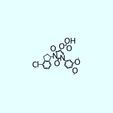 COc1ccc(-n2cc(OC(=O)O)c(=O)n(C3CCc4c(Cl)cccc43)c2=O)cc1OC